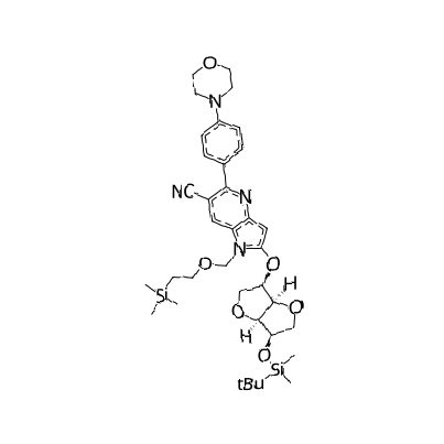 CC(C)(C)[Si](C)(C)O[C@@H]1CO[C@H]2[C@@H]1OC[C@H]2Oc1cc2nc(-c3ccc(N4CCOCC4)cc3)c(C#N)cc2n1COCC[Si](C)(C)C